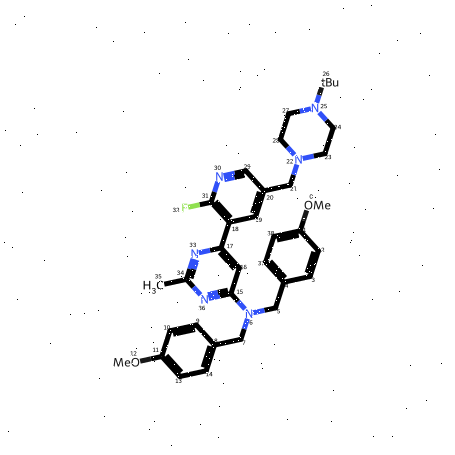 COc1ccc(CN(Cc2ccc(OC)cc2)c2cc(-c3cc(CN4CCN(C(C)(C)C)CC4)cnc3F)nc(C)n2)cc1